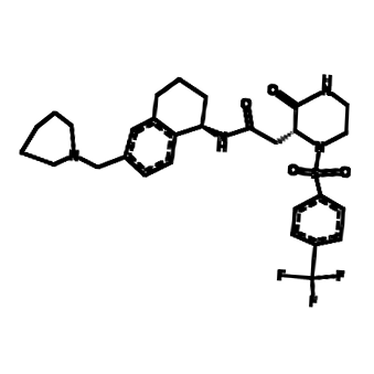 O=C(C[C@@H]1C(=O)NCCN1S(=O)(=O)c1ccc(C(F)(F)F)cc1)N[C@@H]1CCCc2cc(CN3CCCCC3)ccc21